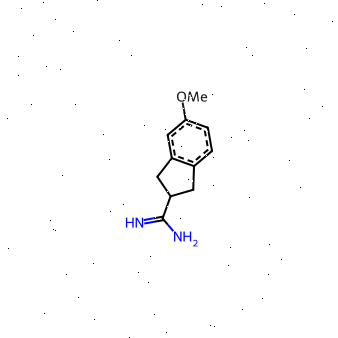 COc1ccc2c(c1)CC(C(=N)N)C2